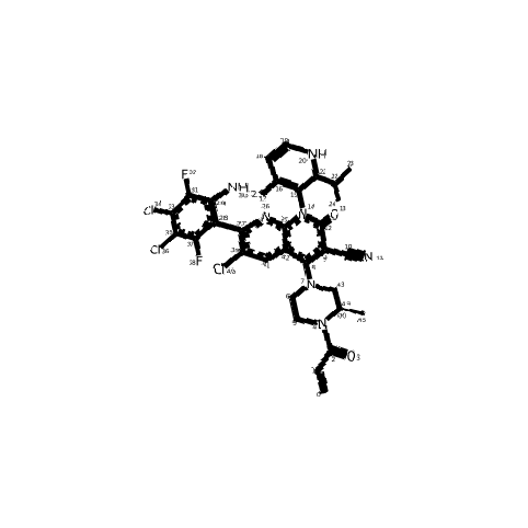 C=CC(=O)N1CCN(c2c(C#N)c(=O)n(C3=C(C)C=CNC3C(C)C)c3nc(-c4c(N)c(F)c(Cl)c(Cl)c4F)c(Cl)cc23)C[C@H]1C